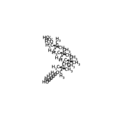 C[N+](C)(C)C.C[N+](C)(C)C.C[N+](C)(C)C.C[N+](C)(C)C.O.O.O.O.O.[OH-].[OH-].[OH-].[OH-]